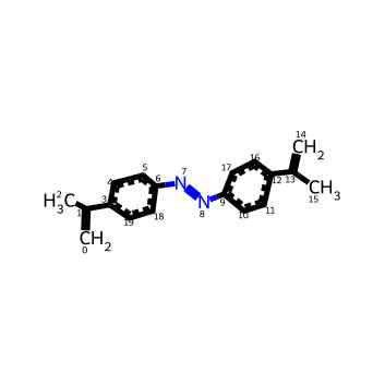 C=C(C)c1ccc(/N=N/c2ccc(C(=C)C)cc2)cc1